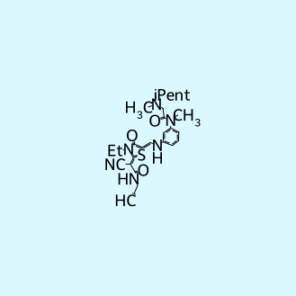 C#CCNC(=O)C(C#N)=c1sc(=CNc2cccc(N(C)C(=O)CN(C)C(C)CCC)c2)c(=O)n1CC